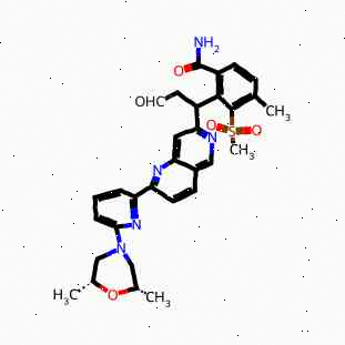 Cc1ccc(C(N)=O)c(C(CC=O)c2cc3nc(-c4cccc(N5C[C@@H](C)O[C@@H](C)C5)n4)ccc3cn2)c1S(C)(=O)=O